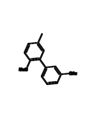 COc1ccc(C)cc1-c1cccc(OC(C)=O)c1